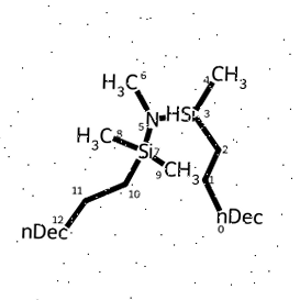 CCCCCCCCCCCC[SiH](C)N(C)[Si](C)(C)CCCCCCCCCCCC